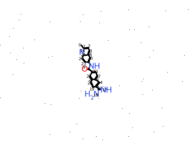 Cc1ccc2cc(NC(=O)c3ccc4cc(C(=N)N)ccc4c3)ccc2n1